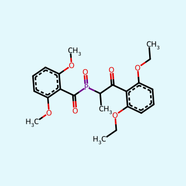 CCOc1cccc(OCC)c1C(=O)C(C)[P](=O)C(=O)c1c(OC)cccc1OC